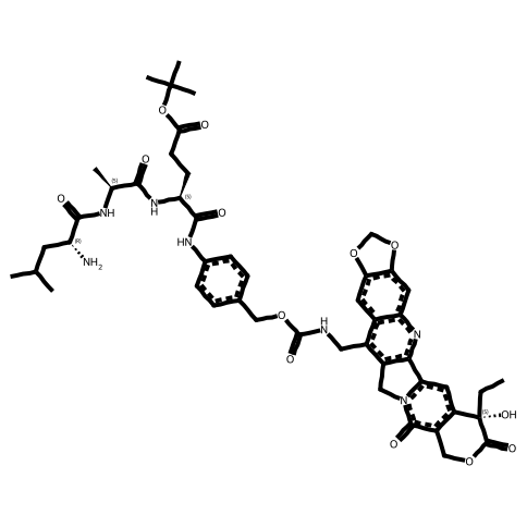 CC[C@@]1(O)C(=O)OCc2c1cc1n(c2=O)Cc2c-1nc1cc3c(cc1c2CNC(=O)OCc1ccc(NC(=O)[C@H](CCC(=O)OC(C)(C)C)NC(=O)[C@H](C)NC(=O)[C@H](N)CC(C)C)cc1)OCO3